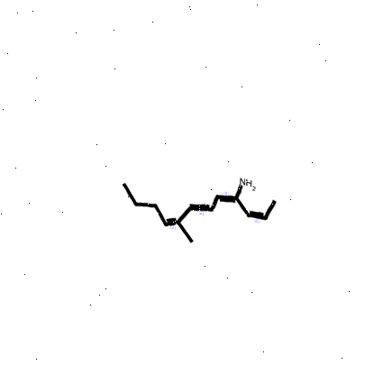 C\C=C/C(N)=C\C=C\C(C)=C/CCC